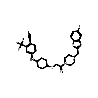 N#Cc1ccc(NC2CCC(OCC(=O)N3CCN(Cc4nc5cc(F)ccc5s4)CC3)CC2)cc1C(F)(F)F